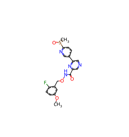 COc1ccc(F)c(CONC(=O)c2cncc(-c3ccc([S+](C)[O-])nc3)n2)c1